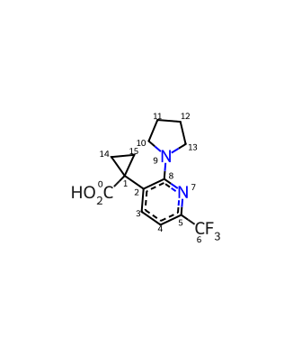 O=C(O)C1(c2ccc(C(F)(F)F)nc2N2CCCC2)CC1